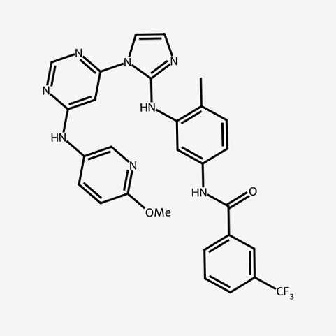 COc1ccc(Nc2cc(-n3ccnc3Nc3cc(NC(=O)c4cccc(C(F)(F)F)c4)ccc3C)ncn2)cn1